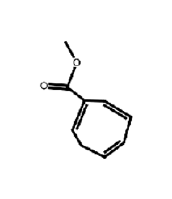 COC(=O)C1=CCC=CC=C1